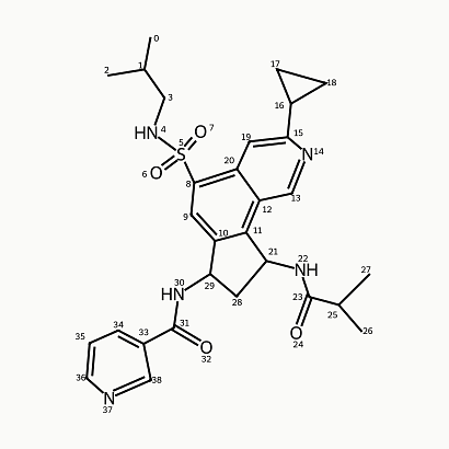 CC(C)CNS(=O)(=O)c1cc2c(c3cnc(C4CC4)cc13)C(NC(=O)C(C)C)CC2NC(=O)c1cccnc1